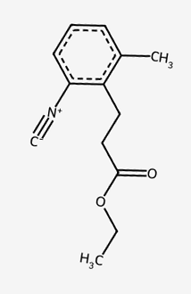 [C-]#[N+]c1cccc(C)c1CCC(=O)OCC